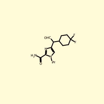 CC(C)n1cc(C(C=O)C2CCC(F)(F)CC2)nc1C(N)=O